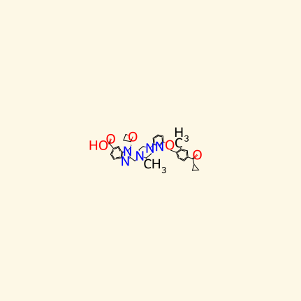 Cc1cc(C(=O)C2CC2)ccc1COc1cccc(N2CCN(Cc3nc4ccc(C(=O)O)cc4n3C[C@@H]3CCO3)[C@@H](C)C2)n1